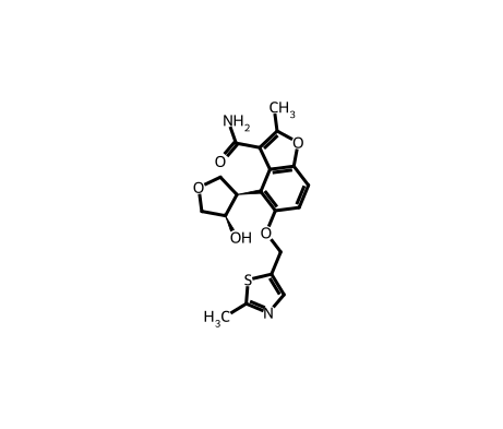 Cc1ncc(COc2ccc3oc(C)c(C(N)=O)c3c2[C@@H]2COC[C@@H]2O)s1